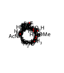 COc1ccc(C[C@@H]2NC(=O)[C@H](Cc3cnc[nH]3)NC(=O)[C@H](CC(=O)O)NC(=O)[C@H](Cc3c[nH]c4ccc(F)cc34)NC(=O)[C@H](Cc3c[nH]c4ccc(F)cc34)NC(=O)[C@H](C)NC(=O)[C@H](NC(C)=O)CCCc3cn(nn3)-c3ccc(cc3)C[C@@H](C(N)=O)NC(=O)[C@]3(C)CCCN3C2=O)cc1